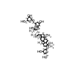 C=C[C@H](CC[C@@H](O[C@H]1C[C@@H](O)C[C@@H](CO[C@@H]2C[C@@H](O)C[C@@H](CO)O2)O1)C(C)(C)O)[C@H]1CC[C@@]2(C=C)C3CC=C4C(CC[C@H](O[C@H]5C[C@@H](O)C[C@@H](CO)O5)C4(C)C)[C@]3(C)CC[C@]12C